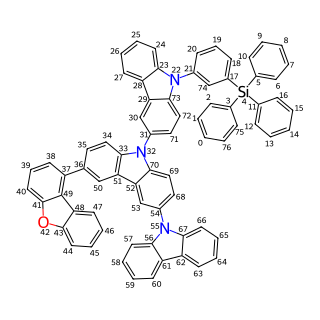 c1ccc([Si](c2ccccc2)(c2ccccc2)c2cccc(-n3c4ccccc4c4cc(-n5c6ccc(-c7cccc8oc9ccccc9c78)cc6c6cc(-n7c8ccccc8c8ccccc87)ccc65)ccc43)c2)cc1